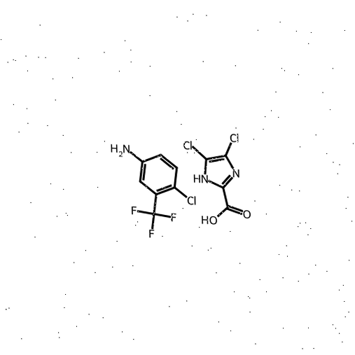 Nc1ccc(Cl)c(C(F)(F)F)c1.O=C(O)c1nc(Cl)c(Cl)[nH]1